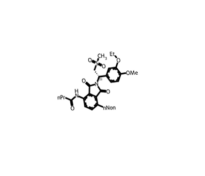 CCCCCCCCCc1ccc(NC(=O)CCC)c2c1C(=O)N([C@H](CS(C)(=O)=O)c1ccc(OC)c(OCC)c1)C2=O